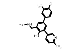 Cc1ccc(-c2cc(-c3ccc(Cl)c(C(F)(F)F)c3)cc(CNC(C)(C)C)c2O)cn1